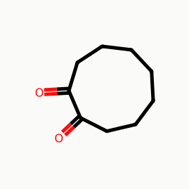 O=C1CCCCCCCC1=O